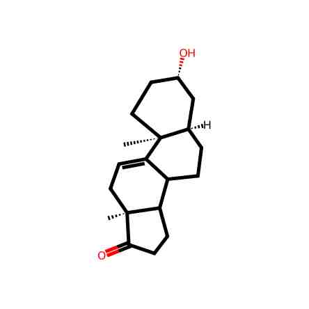 C[C@]12CC=C3C(CC[C@@H]4C[C@@H](O)CC[C@]34C)C1CCC2=O